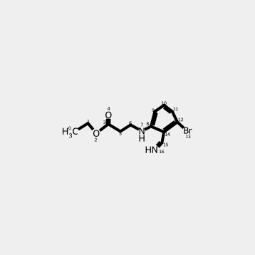 CCOC(=O)CCNc1cccc(Br)c1C=N